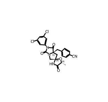 C[C@H]1O[C@]2(CN3C(=O)N(c4cc(Cl)cc(Cl)c4)C(=O)[C@]3(Cc3ccc(C#N)cc3)C2)NC1=O